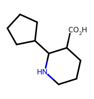 O=C(O)C1CCCNC1C1CCCC1